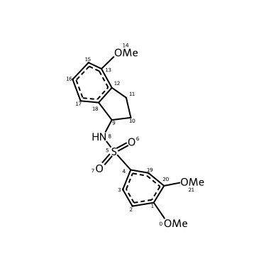 COc1ccc(S(=O)(=O)NC2CCc3c(OC)cccc32)cc1OC